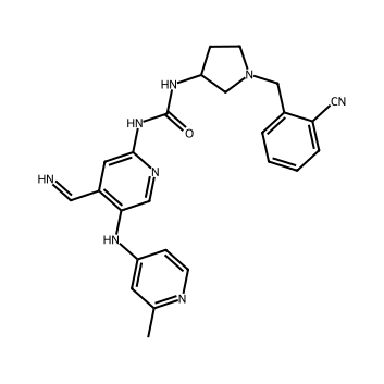 Cc1cc(Nc2cnc(NC(=O)NC3CCN(Cc4ccccc4C#N)C3)cc2C=N)ccn1